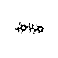 O=C(NC(=O)c1c(F)cccc1F)Nc1cc(F)c(C(F)(F)F)c(F)c1